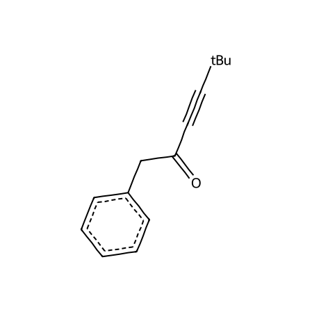 CC(C)(C)C#CC(=O)Cc1ccccc1